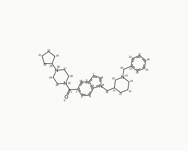 O=C(c1ccc2c(ccn2CC2CCCN(Cc3ccccc3)C2)c1)N1CCN(C2CCCC2)CC1